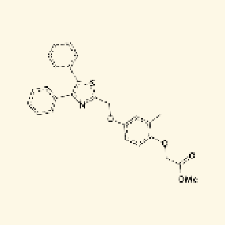 COC(=O)COc1ccc(OCc2nc(-c3ccccc3)c(-c3ccccc3)s2)cc1C